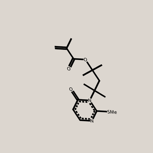 C=C(C)C(=O)OC(C)(C)CC(C)(C)n1c(SC)nccc1=O